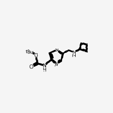 CC(C)(C)OC(=O)Nc1cnc(CNC2CCC2)cn1